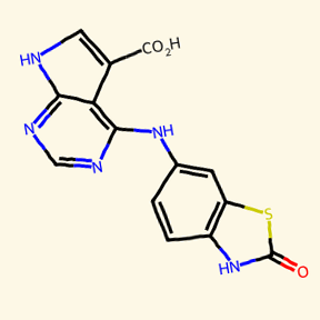 O=C(O)c1c[nH]c2ncnc(Nc3ccc4[nH]c(=O)sc4c3)c12